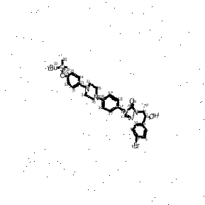 C[C@H]([C@H](O)c1ccc(Br)cc1)n1ncn(-c2ccc(N3CCN(c4ccc(O[Si](C)(C)C(C)(C)C)cc4)CC3)cc2)c1=O